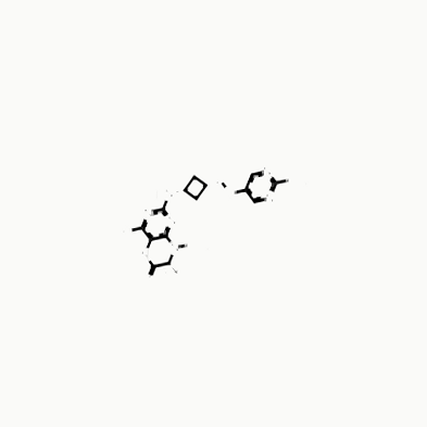 Cc1nc(N[C@H]2C[C@@H](COc3cnc(C(F)(F)F)nc3)C2)nc2c1NC(=O)[C@H](C(C)C)N2C